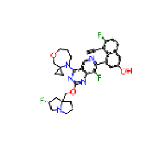 C#Cc1c(F)ccc2cc(O)cc(-c3ncc4c(N5CCCOCC56CC6)nc(OC[C@@]56CCCN5C[C@H](F)C6)nc4c3F)c12